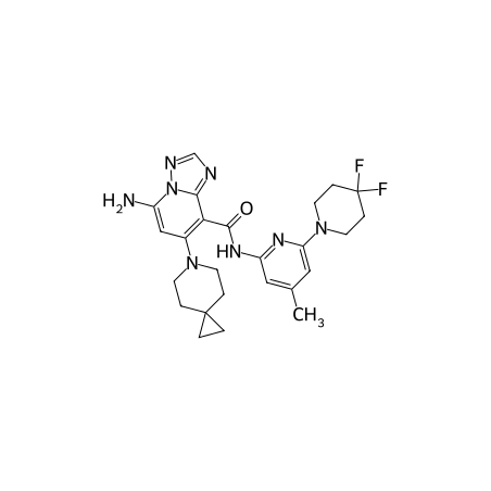 Cc1cc(NC(=O)c2c(N3CCC4(CC3)CC4)cc(N)n3ncnc23)nc(N2CCC(F)(F)CC2)c1